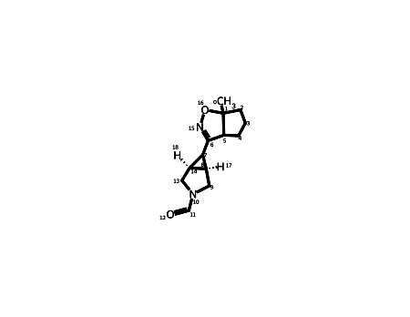 CC12CCCC1C(C1[C@H]3CN(C=O)C[C@@H]13)=NO2